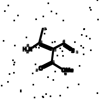 COC(=O)/C(C=S)=C(/C)N